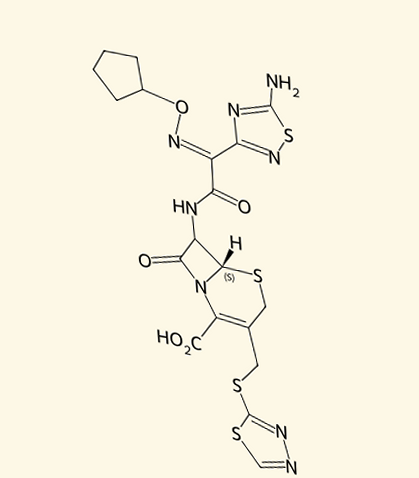 Nc1nc(C(=NOC2CCCC2)C(=O)NC2C(=O)N3C(C(=O)O)=C(CSc4nncs4)CS[C@@H]23)ns1